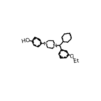 CCOc1cccc(C(C2CCCCC2)N2CCN(c3ccc(O)cc3)CC2)c1